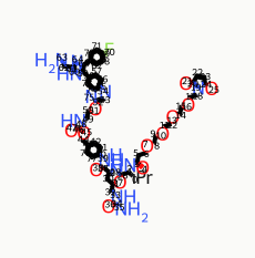 CC(C)C(NC(=O)CCOCCOCCOCCOCCN1C(=O)C=CC1=O)C(=O)NC(CCCNC(N)=O)C(=O)Nc1ccc(COC(=O)NCCOc2cnc3ccc(-c4[nH]c(CN)nc4-c4ccc(F)cc4)cc3n2)cc1